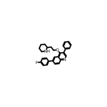 Fc1ccc(-c2ccc3ncc(-c4ccccc4)c(OCCC4CCCCN4)c3c2)cc1